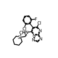 C[Si]1(CNc2c(-c3c(F)cccc3Cl)c(Cl)nc3ncnn23)CCCCC1